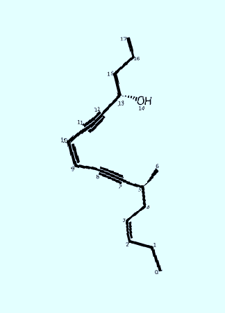 CC/C=C\C[C@H](C)C#C/C=C\C#C[C@@H](O)CCC